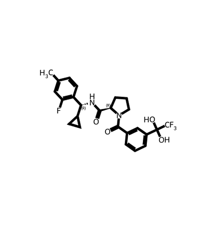 Cc1ccc([C@H](NC(=O)[C@H]2CCCN2C(=O)c2cccc(C(O)(O)C(F)(F)F)c2)C2CC2)c(F)c1